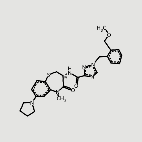 COCc1ccccc1Cn1cnc(C(=O)N[C@H]2CSc3ccc(N4CCCC4)cc3N(C)C2=O)n1